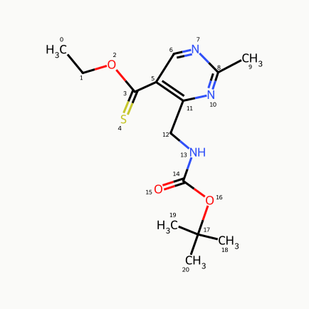 CCOC(=S)c1cnc(C)nc1CNC(=O)OC(C)(C)C